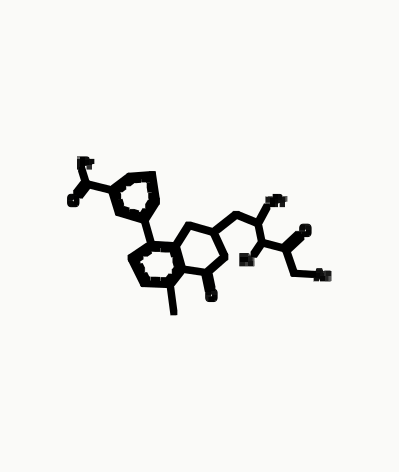 CCCC(CC1CC(=O)c2c(C)ccc(-c3cccc(C(=O)C(C)C)c3)c2C1)C(CC)C(=O)CC(C)=O